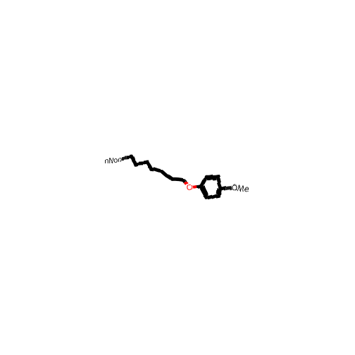 CCCCCCCCCCCCCCCCOc1ccc(OC)cc1